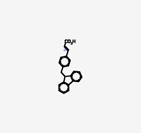 O=C(O)/C=C/c1ccc(CC2c3ccccc3-c3ccccc32)cc1